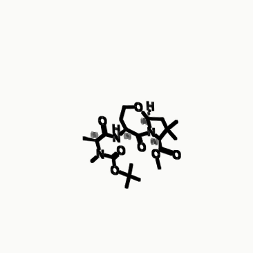 COC(=O)[C@H]1N2C(=O)[C@@H](NC(=O)[C@H](C)N(C)C(=O)OC(C)(C)C)CCO[C@H]2CC1(C)C